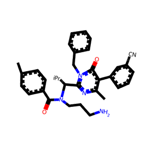 Cc1ccc(C(=O)N(CCCN)C(c2nc(C)c(-c3cccc(C#N)c3)c(=O)n2Cc2ccccc2)C(C)C)cc1